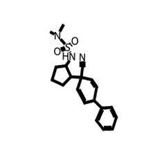 CN(C)S(=O)(=O)NC1CCCC1C1(C#N)C=CC(c2ccccc2)C=C1